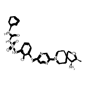 C[C@@H]1OCC2(CCN(c3cnc(Sc4cccc(NS(=O)(=O)NC(=O)Nc5ccccc5)c4Cl)cn3)CC2)[C@@H]1N